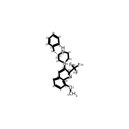 COc1cccc2cc(N3CCN[C@@H](Cc4ccccc4)C3)c(C(F)(F)F)nc12